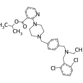 CCN(Cc1ccc(CN2CCN(c3ncccc3C(=O)OC(C)C)CC2)cc1)Cc1c(Cl)cccc1Cl